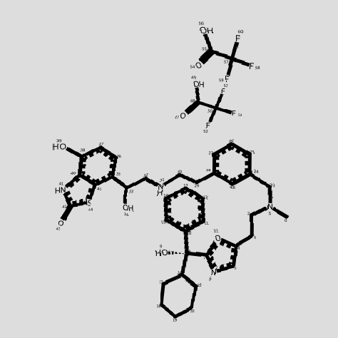 CN(CCc1cnc([C@](O)(c2ccccc2)C2CCCCC2)o1)Cc1cccc(CCNCC(O)c2ccc(O)c3[nH]c(=O)sc23)c1.O=C(O)C(F)(F)F.O=C(O)C(F)(F)F